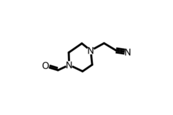 N#CCN1CCN(C=O)CC1